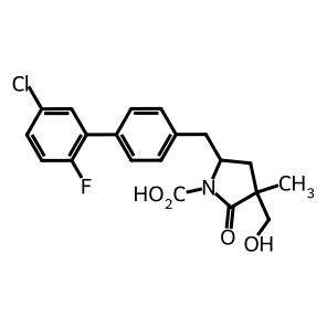 CC1(CO)CC(Cc2ccc(-c3cc(Cl)ccc3F)cc2)N(C(=O)O)C1=O